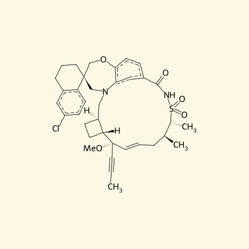 CC#C[C@]1(OC)/C=C/C[C@H](C)[C@@H](C)S(=O)(=O)NC(=O)c2ccc3c(c2)N(C[C@@H]2CC[C@H]21)C[C@@]1(CCCc2cc(Cl)ccc21)CO3